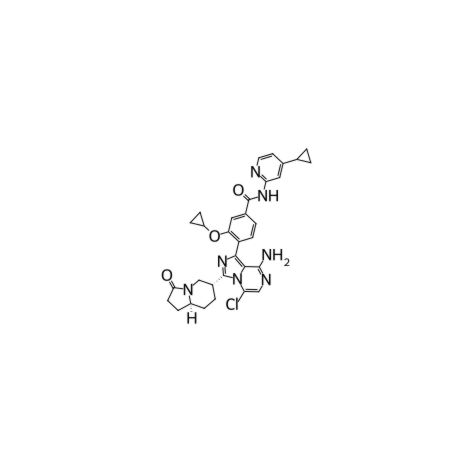 Nc1ncc(Cl)n2c([C@@H]3CC[C@H]4CCC(=O)N4C3)nc(-c3ccc(C(=O)Nc4cc(C5CC5)ccn4)cc3OC3CC3)c12